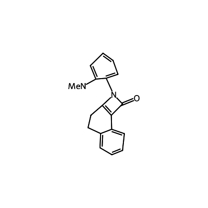 CNc1ccccc1N1C(=O)C2=C1CCc1ccccc12